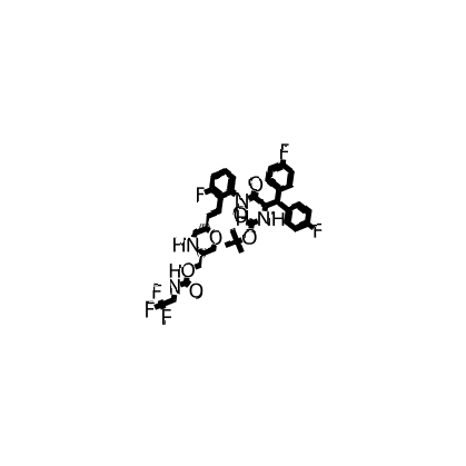 CC(C)(C)OC(=O)NC(C(=O)Nc1cccc(F)c1CC[C@@H]1CN[C@H](COC(=O)NCC(F)(F)F)CO1)C(c1ccc(F)cc1)c1ccc(F)cc1